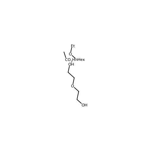 CC(=O)O.CCCCCCOCC.OCCOCCO